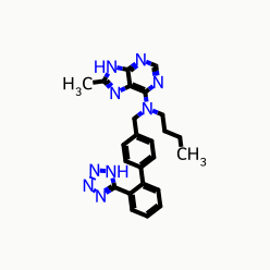 CCCCN(Cc1ccc(-c2ccccc2-c2nnn[nH]2)cc1)c1ncnc2[nH]c(C)nc12